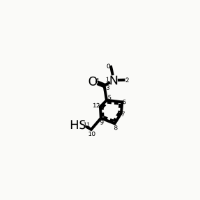 CN(C)C(=O)c1cccc(CS)c1